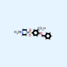 CN1CCN(S(=O)(=O)c2ccc(OCc3ccccc3)c(C(=O)O)c2)CC1